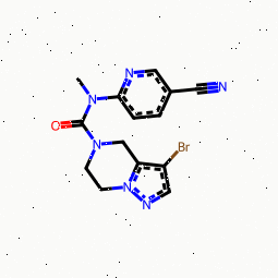 CN(C(=O)N1CCn2ncc(Br)c2C1)c1ccc(C#N)cn1